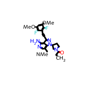 C=CC(=O)N1CCC(n2nc(C#Cc3c(F)c(OC)cc(OC)c3F)c3c(N)ncc(CNC)c32)C1